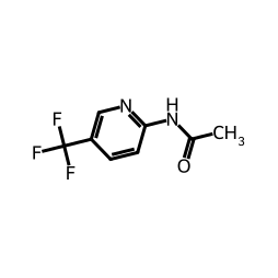 CC(=O)Nc1ccc(C(F)(F)F)cn1